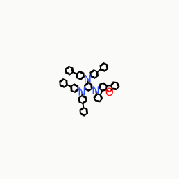 c1ccc(-c2ccc(N(c3ccc(-c4ccccc4)cc3)c3cc(N(c4ccc(-c5ccccc5)cc4)c4ccc(-c5ccccc5)cc4)cc(-n4c5ccccc5c5c6oc7ccccc7c6ccc54)c3)cc2)cc1